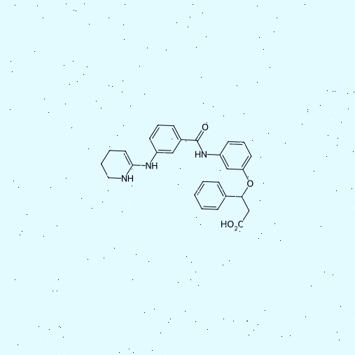 O=C(O)CC(Oc1cccc(NC(=O)c2cccc(NC3=CCCCN3)c2)c1)c1ccccc1